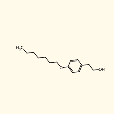 CCCCCCCOc1ccc(CCO)cc1